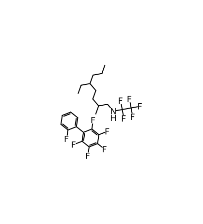 CCCC(CC)CCC(C)CNC(F)(F)C(F)(F)F.Fc1ccccc1-c1c(F)c(F)c(F)c(F)c1F